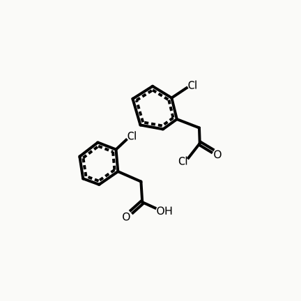 O=C(Cl)Cc1ccccc1Cl.O=C(O)Cc1ccccc1Cl